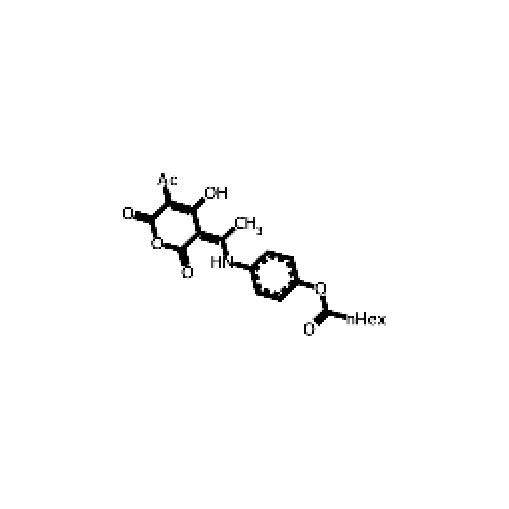 CCCCCCC(=O)Oc1ccc(N/C(C)=C2\C(=O)OC(=O)C(C(C)=O)=C2O)cc1